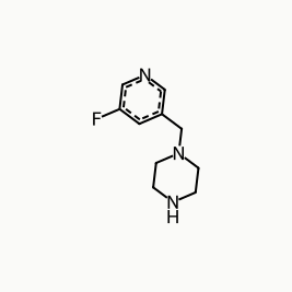 Fc1cncc(CN2CCNCC2)c1